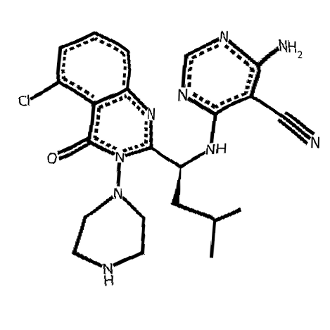 CC(C)C[C@H](Nc1ncnc(N)c1C#N)c1nc2cccc(Cl)c2c(=O)n1N1CCNCC1